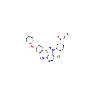 C=CC(=O)N1CCCC(n2nc(-c3ccc(Oc4ccccc4)cc3)c3c(N)ncc(Cl)c32)C1